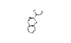 O=CC(=O)N1N=Cc2ccccc2S1